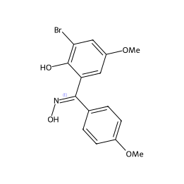 COc1ccc(/C(=N\O)c2cc(OC)cc(Br)c2O)cc1